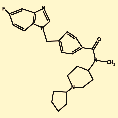 CN(C(=O)c1ccc(Cn2cnc3cc(F)ccc32)cc1)C1CCN(C2CCCC2)CC1